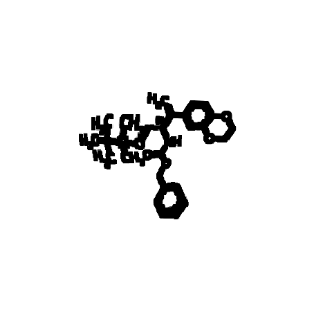 C=C(c1ccc2c(c1)OCCO2)[C@@H](CO[Si](C)(C)C(C)(C)C)NC(=O)OCc1ccccc1